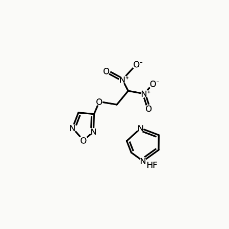 F.O=[N+]([O-])C(COc1cnon1)[N+](=O)[O-].c1cnccn1